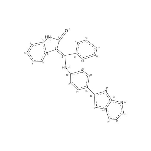 O=C1Nc2ccccc2C1=C(Nc1ccc(-c2cn3cccnc3n2)cc1)c1ccccc1